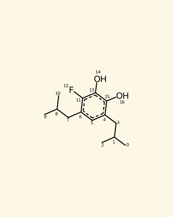 CC(C)Cc1cc(CC(C)C)c(F)c(O)c1O